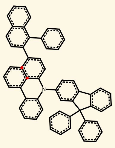 c1ccc(-c2ccccc2N(c2ccc(-c3ccc4ccccc4c3-c3ccccc3)cc2)c2ccc3c(c2)C(c2ccccc2)(c2ccccc2)c2ccccc2-3)cc1